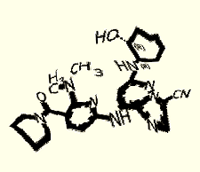 CN(C)c1nc(Nc2cc(N[C@@H]3CCCC[C@H]3O)nn3c(C#N)cnc23)ccc1C(=O)N1CCCC1